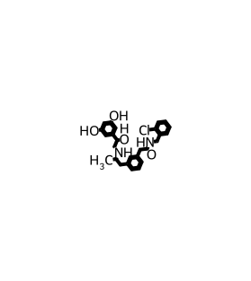 CC(Cc1cccc(CC(=O)NCc2ccccc2Cl)c1)NCC(O)c1cc(O)cc(O)c1